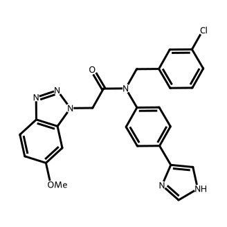 COc1ccc2nnn(CC(=O)N(Cc3cccc(Cl)c3)c3ccc(-c4c[nH]cn4)cc3)c2c1